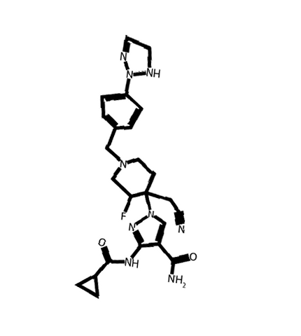 N#CCC1(n2cc(C(N)=O)c(NC(=O)C3CC3)n2)CCN(Cc2ccc(N3N=CCN3)cc2)CC1F